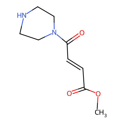 COC(=O)C=CC(=O)N1CCNCC1